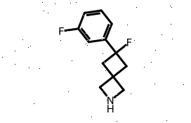 Fc1cccc(C2(F)CC3(CNC3)C2)c1